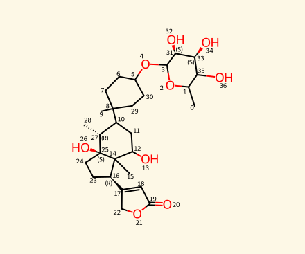 CC1OC(OC2CCC(C)(C3CC(O)C4(C)[C@@H](C5=CC(=O)OC5)CC[C@]4(O)[C@@H]3C)CC2)[C@@H](O)[C@@H](O)C1O